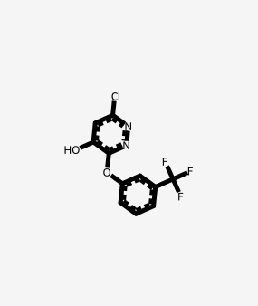 Oc1cc(Cl)nnc1Oc1cccc(C(F)(F)F)c1